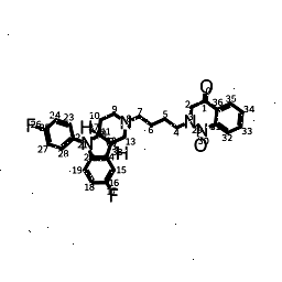 O=C1CN(CCCCN2CC[C@@H]3[C@@H](C2)c2cc(F)ccc2N3c2ccc(F)cc2)[N+](=O)c2ccccc21